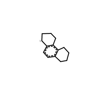 [C]1CCCc2c1ccc1c2CCCC1